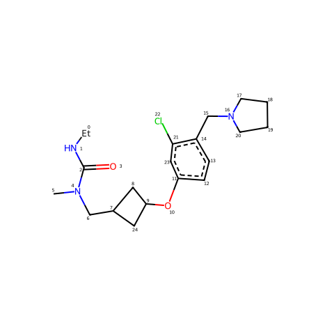 CCNC(=O)N(C)CC1CC(Oc2ccc(CN3CCCC3)c(Cl)c2)C1